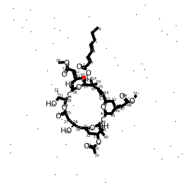 CCC/C=C/C=C/C(=O)O[C@H]1/C(=C/C(=O)OC)C[C@H]2CC([C@@H](C)O)OC(=O)C[C@H](O)CC3CC(OC(C)=O)C(C)(C)[C@](O)(CC4C/C(=C/C(=O)OC)C[C@H](/C=C\C(C)(C)[C@]1(O)O2)O4)O3